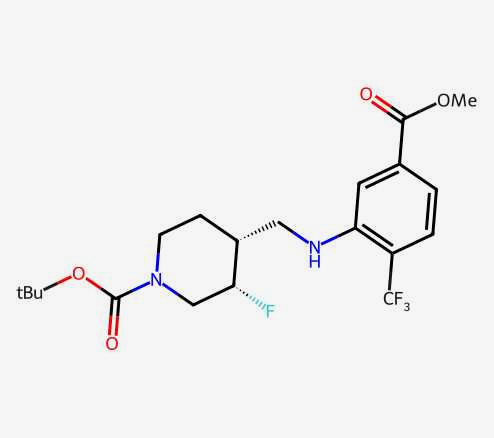 COC(=O)c1ccc(C(F)(F)F)c(NC[C@H]2CCN(C(=O)OC(C)(C)C)C[C@H]2F)c1